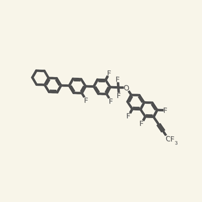 Fc1cc(-c2ccc3c(c2)CCCC3)ccc1-c1cc(F)c(C(F)(F)Oc2cc(F)c3c(F)c(C#CC(F)(F)F)c(F)cc3c2)c(F)c1